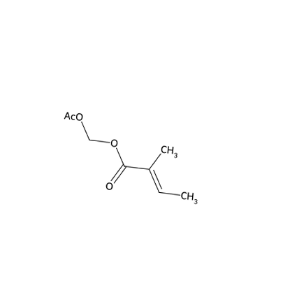 C/C=C(\C)C(=O)OCOC(C)=O